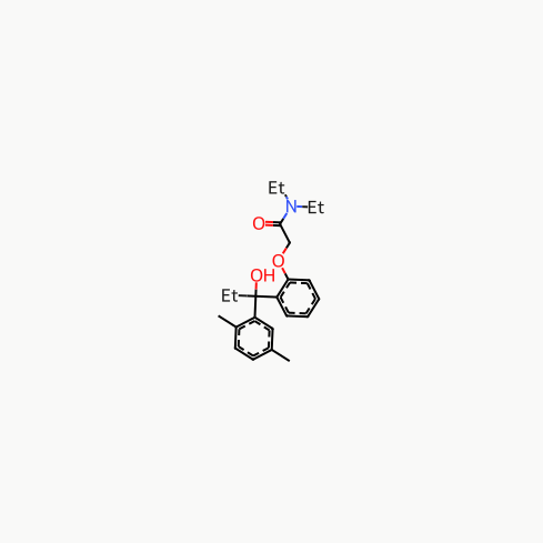 CCN(CC)C(=O)COc1ccccc1C(O)(CC)c1cc(C)ccc1C